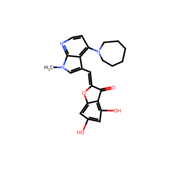 Cn1cc(/C=C2\Oc3cc(O)cc(O)c3C2=O)c2c(N3CCCCCC3)ccnc21